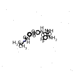 CN(C)C/C=C/C(=O)Nc1cccc(S(=O)(=O)N2CCC(NC(=O)c3n[nH]cc3C3(C(N)=O)CCC(F)(F)CC3)CC2)c1